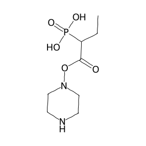 CCC(C(=O)ON1CCNCC1)P(=O)(O)O